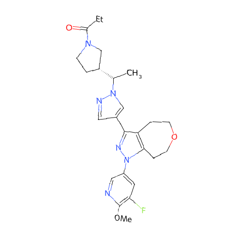 CCC(=O)N1CC[C@@H](C(C)n2cc(-c3nn(-c4cnc(OC)c(F)c4)c4c3CCOCC4)cn2)C1